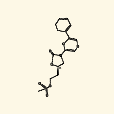 CS(=O)(=O)OCC[C@@H]1CN(C2=COC=C(C3=CC=CCC3)O2)C(=O)O1